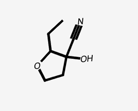 CCC1OCCC1(O)C#N